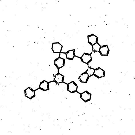 c1ccc(-c2ccc(-c3cc(-c4ccc(C5(c6ccc(-c7cc(-n8c9ccccc9c9ccccc98)cc(-n8c9ccccc9c9ccccc98)c7)cc6)CCCCC5)cc4)nc(-c4ccc(-c5ccccc5)cc4)n3)cc2)cc1